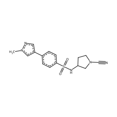 Cn1cc(-c2ccc(S(=O)(=O)NC3CCN(C#N)C3)cc2)cn1